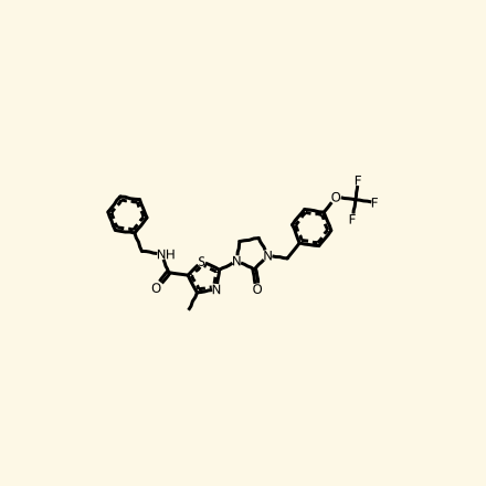 Cc1nc(N2CCN(Cc3ccc(OC(F)(F)F)cc3)C2=O)sc1C(=O)NCc1ccccc1